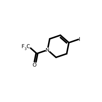 O=C(N1CC=C(I)CC1)C(F)(F)F